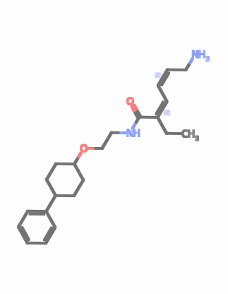 CC/C(=C/C=C\CN)C(=O)NCCOC1CCC(c2ccccc2)CC1